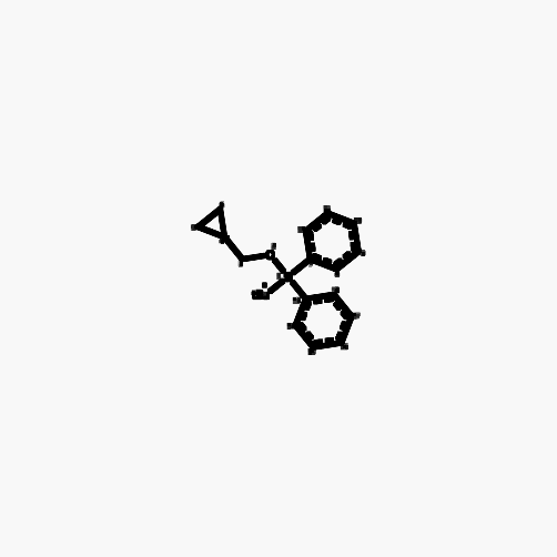 CC(C)(C)[Si](OC[C]1CC1)(c1ccccc1)c1ccccc1